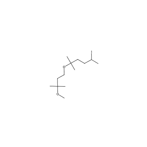 COC(C)(C)CCOC(C)(C)CCC(C)I